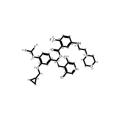 O=C(O[C@@H](Cc1c(Cl)cncc1Cl)c1ccc(OC(F)F)c(OCC2CC2)c1)c1cc(NCCN2CCOCC2)ccc1C(F)(F)F